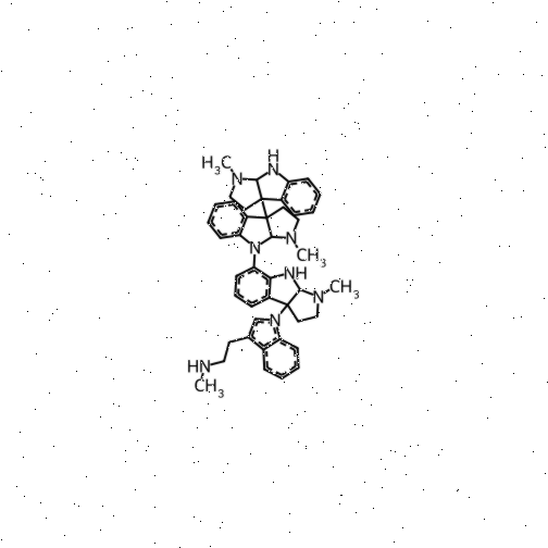 CNCCc1cn(C23CCN(C)C2Nc2c(N4c5ccccc5C5(C67CCN(C)C6Nc6ccccc67)CCN(C)C45)cccc23)c2ccccc12